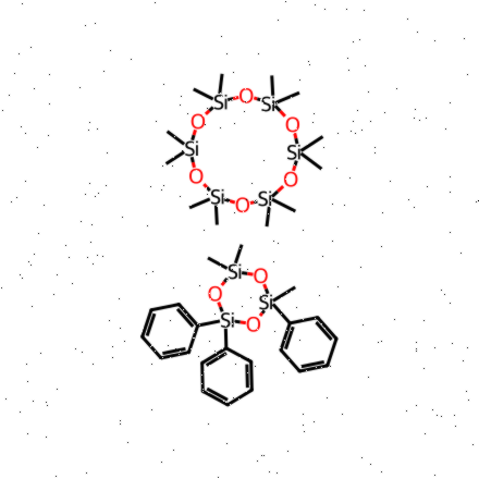 C[Si]1(C)O[Si](C)(C)O[Si](C)(C)O[Si](C)(C)O[Si](C)(C)O[Si](C)(C)O1.C[Si]1(C)O[Si](C)(c2ccccc2)O[Si](c2ccccc2)(c2ccccc2)O1